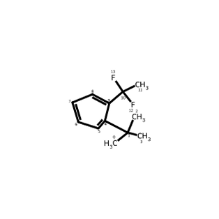 CC(C)(C)c1ccccc1C(C)(F)F